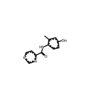 Cc1cc(O)ccc1NC(=O)c1ccncn1